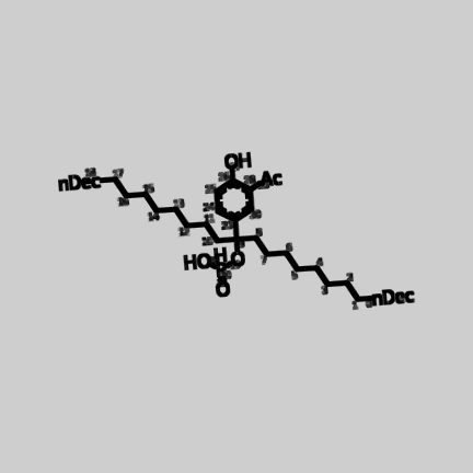 CCCCCCCCCCCCCCCCCCC(CCCCCCCCCCCCCCCCCC)(O[PH](=O)O)c1ccc(O)c(C(C)=O)c1